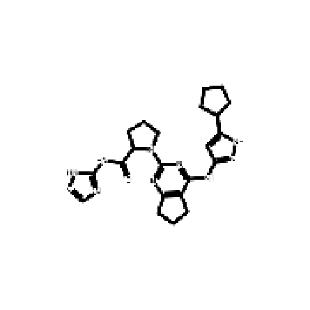 O=C(Nc1ncn[nH]1)C1CCCN1c1nc2c(c(Nc3cc(C4CCCC4)[nH]n3)n1)CCC2